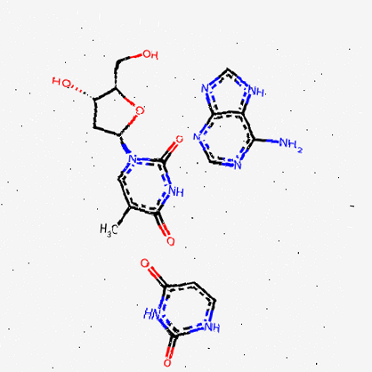 Cc1cn([C@H]2C[C@H](O)[C@@H](CO)O2)c(=O)[nH]c1=O.Nc1ncnc2nc[nH]c12.O=c1cc[nH]c(=O)[nH]1